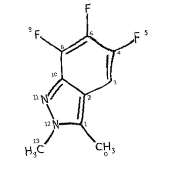 Cc1c2cc(F)c(F)c(F)c2nn1C